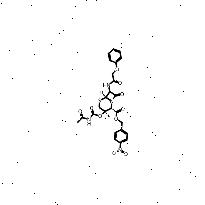 CC(=O)NC(=O)O[C@]1(C)CS[C@@H]2C(NC(=O)COc3ccccc3)C(=O)N2[C@H]1C(=O)OCc1ccc([N+](=O)[O-])cc1